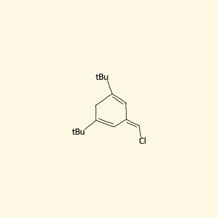 CC(C)(C)C1=CC(=CCl)C=C(C(C)(C)C)C1